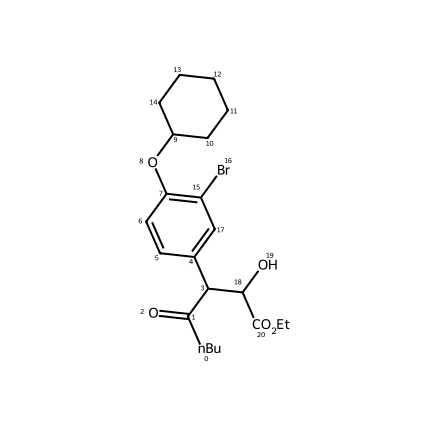 CCCCC(=O)C(c1ccc(OC2CCCCC2)c(Br)c1)C(O)C(=O)OCC